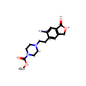 CC(C)(C)OC(=O)N1CCN(CCc2cc3c(cc2I)C(=O)OC3)CC1